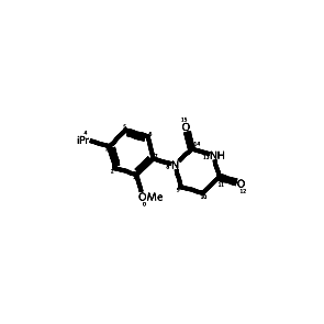 COc1cc(C(C)C)ccc1N1CCC(=O)NC1=O